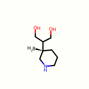 B[C@@]1(C(CO)CO)CCCNC1